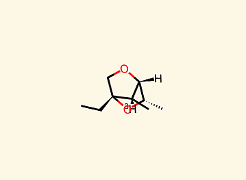 [3H][C@]1(C)[C@@H]2OC[C@@]1(CC)O[C@H]2C